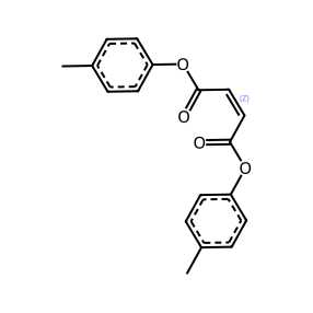 Cc1ccc(OC(=O)/C=C\C(=O)Oc2ccc(C)cc2)cc1